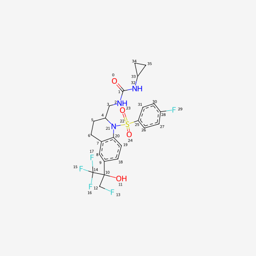 O=C(NCC1CCc2cc(C(O)(CF)C(F)(F)F)ccc2N1S(=O)(=O)c1ccc(F)cc1)NC1CC1